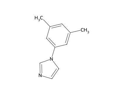 Cc1cc(C)cc(-n2ccnc2)c1